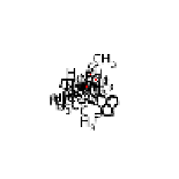 CCSc1nc2c3c(nc(-c4cccc5ccc(F)c(C#C[Si](C(C)C)(C(C)C)C(C)C)c45)c(F)c3n1)CC[C@@H](C)[C@H]1[C@@H]3CC[C@H](CN21)N3C(=O)OC(C)(C)C